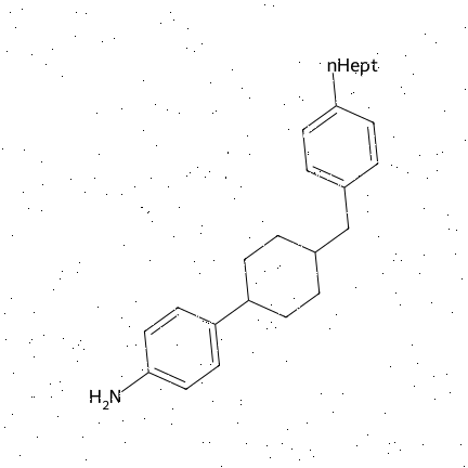 CCCCCCCc1ccc(CC2CCC(c3ccc(N)cc3)CC2)cc1